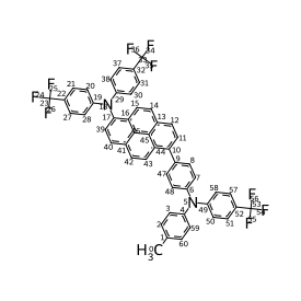 Cc1ccc(N(c2ccc(-c3ccc4ccc5c(N(c6ccc(C(F)(F)F)cc6)c6ccc(C(F)(F)F)cc6)ccc6ccc3c4c65)cc2)c2ccc(C(F)(F)F)cc2)cc1